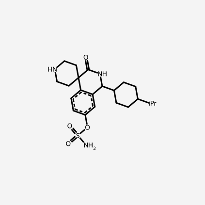 CC(C)C1CCC(C2NC(=O)C3(CCNCC3)c3ccc(OS(N)(=O)=O)cc32)CC1